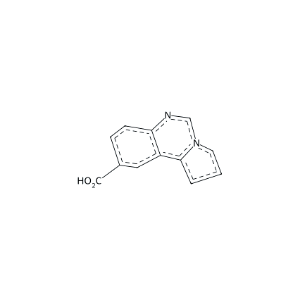 O=C(O)c1ccc2ncn3cccc3c2c1